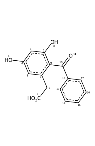 O=C(O)Cc1cc(O)cc(O)c1C(=O)c1ccccc1